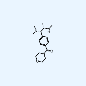 CN[C@@H](C)[C@H](c1ccc(C(=O)N2CCOCC2)cc1)N(C)C